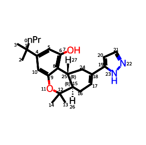 CCCC(C)(C)c1cc(O)c2c(c1)OC(C)(C)[C@@H]1CC=C(c3ccn[nH]3)C[C@@H]21